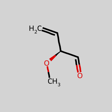 C=C[C@@H](C=O)OC